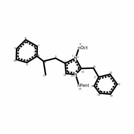 CCCCCCCC[n+]1c(CC(C)c2ccccc2)cn(CCCCC)c1Cc1ccccc1